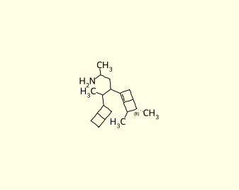 CC(N)CC(C1=C2C(C)[C@@H](C)C2C1)C(C)C1CC2CCC21